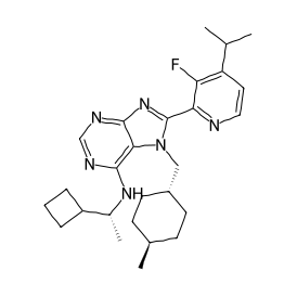 CC(C)c1ccnc(-c2nc3ncnc(N[C@H](C)C4CCC4)c3n2C[C@H]2CC[C@H](C)CC2)c1F